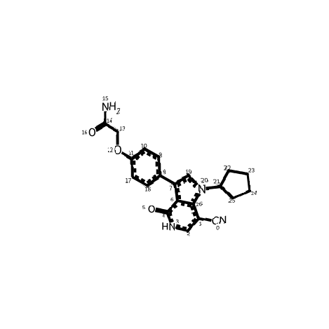 N#Cc1c[nH]c(=O)c2c(-c3ccc(OCC(N)=O)cc3)cn(C3CCCC3)c12